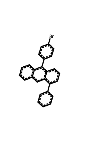 Brc1ccc(-c2c3ccccc3cc3c(-c4ccccc4)cccc23)cc1